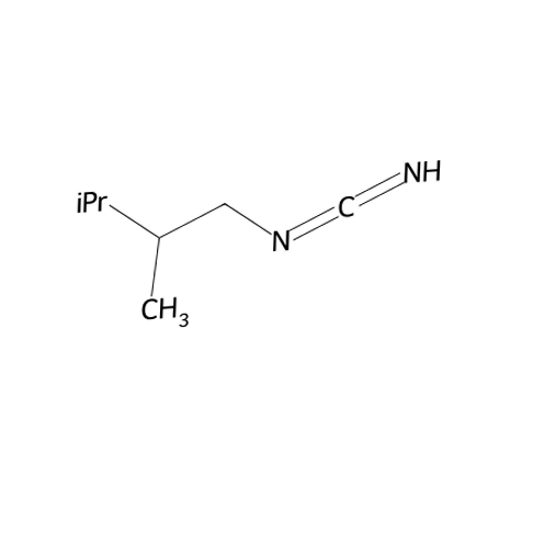 CC(C)C(C)CN=C=N